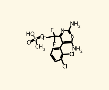 CS(=O)(=O)O.Nc1nc(N)c(-c2cccc(Cl)c2Cl)c(C(F)(F)F)n1